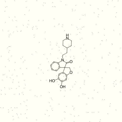 O=C1N(CCC2CCNCC2)c2ccccc2C12COc1cc(O)c(O)cc12